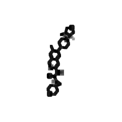 Cc1cc2cnc(NC(=O)[C@H]3CC34CCOCC4)cc2cc1C1CCN([C@]2(C)COC[C@@H]2C)CC1